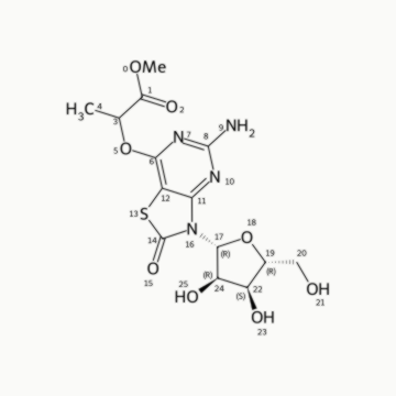 COC(=O)C(C)Oc1nc(N)nc2c1sc(=O)n2[C@@H]1O[C@H](CO)[C@@H](O)[C@H]1O